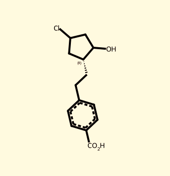 O=C(O)c1ccc(CC[C@@H]2CC(Cl)CC2O)cc1